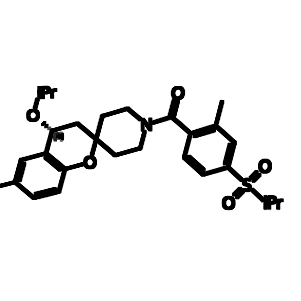 Cc1cc(S(=O)(=O)C(C)C)ccc1C(=O)N1CCC2(CC1)C[C@@H](OC(C)C)c1cc(F)ccc1O2